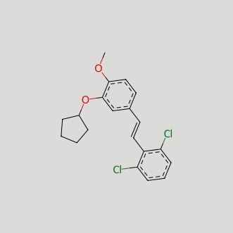 COc1ccc(C=Cc2c(Cl)cccc2Cl)cc1OC1CCCC1